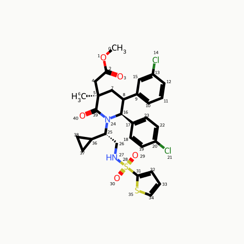 COC(=O)C[C@@]1(C)CC(c2cccc(Cl)c2)[C@@H](c2ccc(Cl)cc2)N([C@H](CNS(=O)(=O)c2cccs2)C2CC2)C1=O